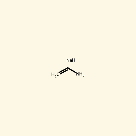 C=CN.[NaH]